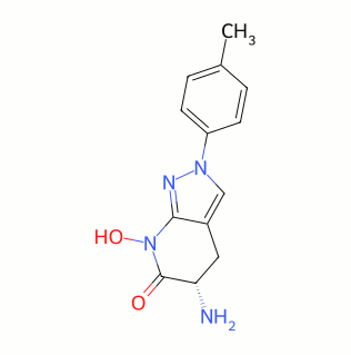 Cc1ccc(-n2cc3c(n2)N(O)C(=O)[C@@H](N)C3)cc1